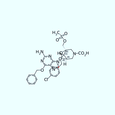 CS(=O)(=O)OC[C@@]12CN(C(=O)O)C[C@@H]([C@H](n3cnc4c(OCc5ccccc5)nc(N)nc43)O1)[C@@H]2OCc1ccc(Cl)cc1